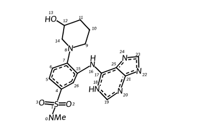 CNS(=O)(=O)c1ccc(N2CCCC(O)C2)c(Nc2[nH]cnc3ncnc2-3)c1